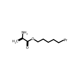 C=C(N)C(=O)OCCCCCC(C)C